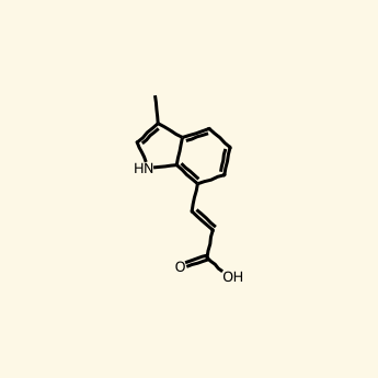 Cc1c[nH]c2c(C=CC(=O)O)cccc12